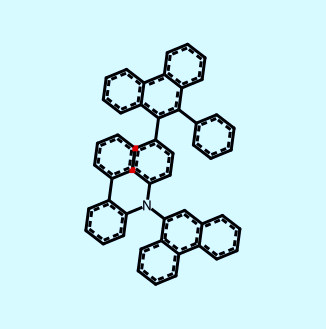 c1ccc(-c2ccccc2N(c2ccc(-c3c(-c4ccccc4)c4ccccc4c4ccccc34)cc2)c2cc3ccccc3c3ccccc23)cc1